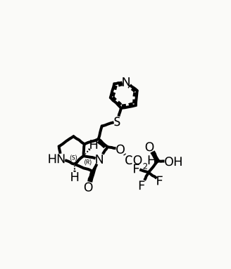 O=C(O)C(F)(F)F.O=C(O)OC1=C(CSc2ccncc2)C2CCN[C@@H]3C(=O)N1[C@H]23